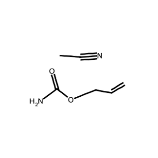 C=CCOC(N)=O.CC#N